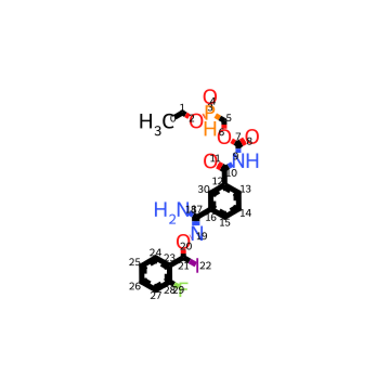 CCO[PH](=O)COC(=O)NC(=O)c1cccc(/C(N)=N/OC(I)c2ccccc2F)c1